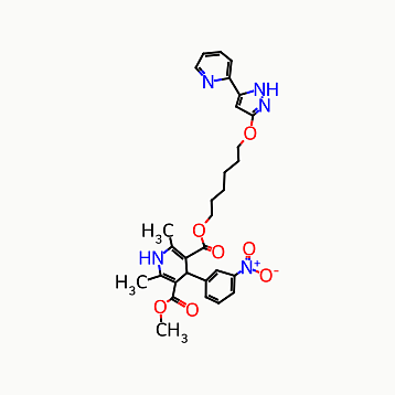 COC(=O)C1=C(C)NC(C)=C(C(=O)OCCCCCCOc2cc(-c3ccccn3)[nH]n2)C1c1cccc([N+](=O)[O-])c1